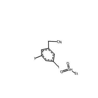 CC[SH](=O)=O.N#CCc1cc(I)cc(I)c1